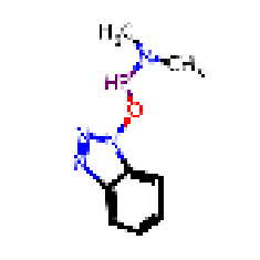 CN(C)POn1nnc2ccccc21